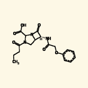 CCCC(=O)N1CC2[C@@H](NC(=O)COc3ccccc3)C(=O)N2C1C(=O)O